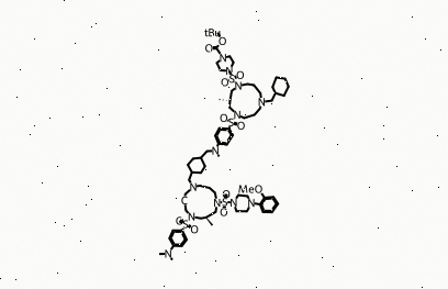 COc1ccccc1N1CCN(S(=O)(=O)N2CCCN(CC3CCC(CN(C)c4ccc(S(=O)(=O)N5CCCN(CC6CCCCC6)CCCN(S(=O)(=O)N6CCN(C(=O)OC(C)(C)C)CC6)C[C@@H](C)C5)cc4)CC3)CCCN(S(=O)(=O)c3ccc(N(C)C)cc3)C[C@H](C)C2)CC1